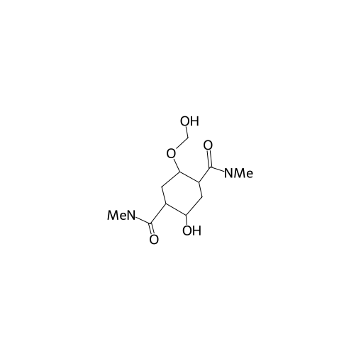 CNC(=O)C1CC(OCO)C(C(=O)NC)CC1O